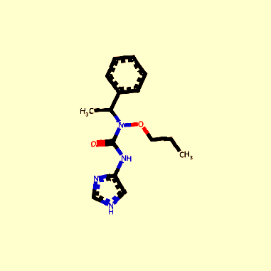 CCCON(C(=O)Nc1c[nH]cn1)C(C)c1ccccc1